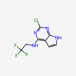 FC(F)(F)CNc1nc(Cl)nc2[nH]ccc12